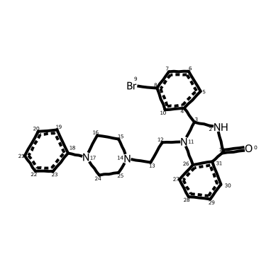 O=C1NC(c2cccc(Br)c2)N(CCN2CCN(c3ccccc3)CC2)c2ccccc21